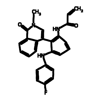 C=CC(=O)Nc1cccc(Nc2ccc(F)cc2)c1-c1cn(C)c(=O)c2ccccc12